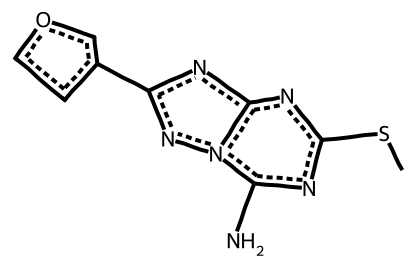 CSc1nc(N)n2nc(-c3ccoc3)nc2n1